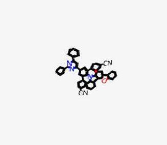 N#Cc1ccc(-c2cc(-c3cc(-c4ccccc4)nc(-c4ccccc4)n3)cc(-c3ccc(C#N)cc3)c2-n2c3ccccc3c3c4oc5ccccc5c4ccc32)cc1